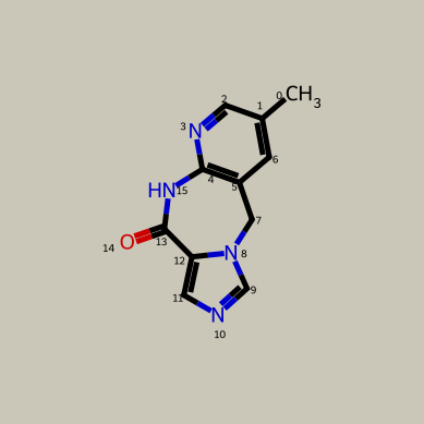 Cc1cnc2c(c1)Cn1cncc1C(=O)N2